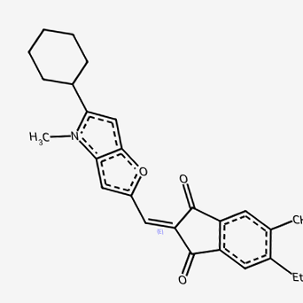 CCc1cc2c(cc1C)C(=O)/C(=C\c1cc3c(cc(C4CCCCC4)n3C)o1)C2=O